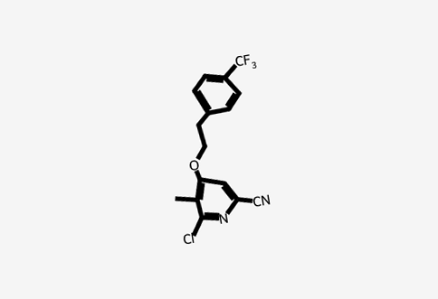 Cc1c(OCCc2ccc(C(F)(F)F)cc2)cc(C#N)nc1Cl